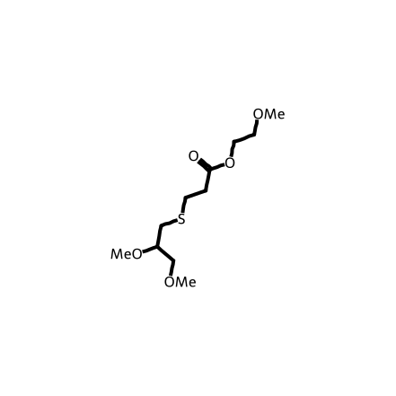 COCCOC(=O)CCSCC(COC)OC